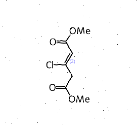 COC(=O)/C=C(\Cl)CC(=O)OC